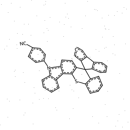 N#Cc1ccc(-n2c3ccccc3c3c4c(ccc32)C2(c3ccccc3S4)c3ccccc3-c3ccccc32)cc1